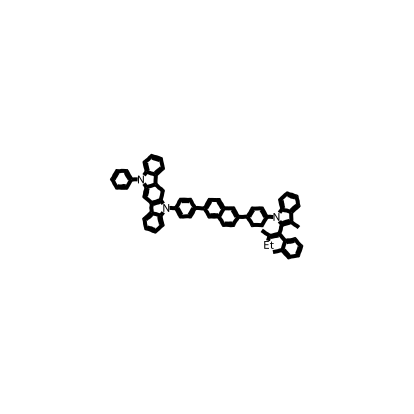 CC/C(C)=C(\c1ccccc1C)c1c(C)c2ccccc2n1C1=CC=C(c2ccc3cc(-c4ccc(-n5c6c(c7ccccc75)C=C5C(C6)c6ccccc6N5c5ccccc5)cc4)ccc3c2)CC1